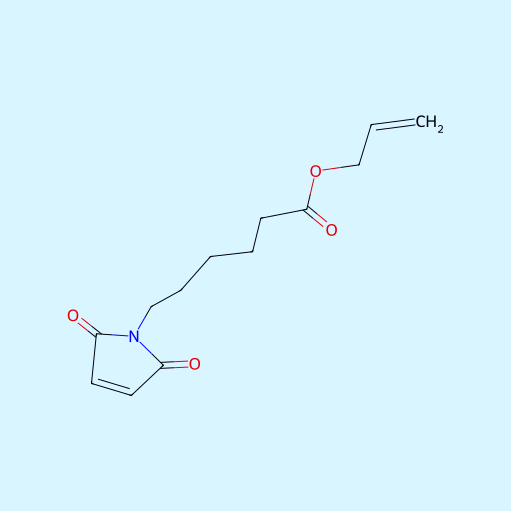 C=CCOC(=O)CCCCCN1C(=O)C=CC1=O